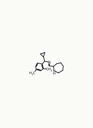 Cc1ccc(C(N=CC2CCCCCN2)C2CC2)c(C)c1